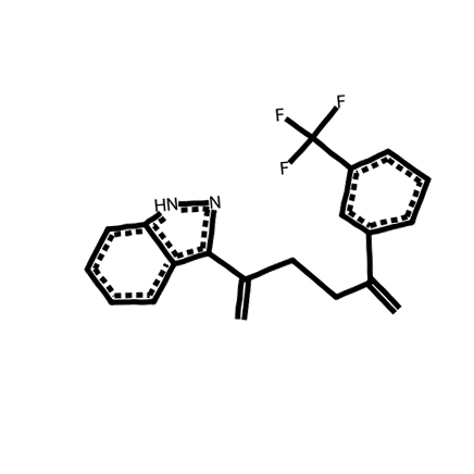 C=C(CCC(=C)c1n[nH]c2ccccc12)c1cccc(C(F)(F)F)c1